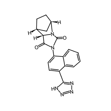 O=C1[C@@H]2[C@@H]3CC[C@@H](C3)N2C(=O)N1c1ccc(-c2nnn[nH]2)c2ccccc12